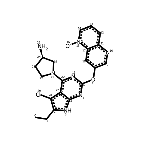 CCc1[nH]c2nc(Oc3cnc4ccc[n+]([O-])c4c3)nc(N3CC[C@@H](N)C3)c2c1Cl